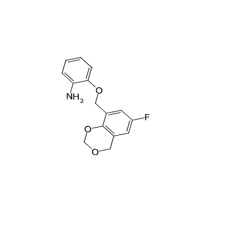 Nc1ccccc1OCc1cc(F)cc2c1OCOC2